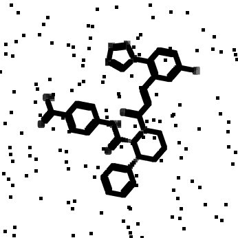 O=C(O)c1ccc(NC(=O)[C@H]2[C@@H](c3ccccc3)CCCN2C(=O)C=Cc2cc(Cl)ccc2-n2cnnn2)cc1